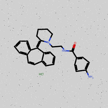 Cl.Nc1ccc(C(=O)NCCN2CCCCC2=C2c3ccccc3C=Cc3ccccc32)cc1